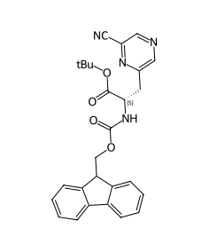 CC(C)(C)OC(=O)[C@H](Cc1cncc(C#N)n1)NC(=O)OCC1c2ccccc2-c2ccccc21